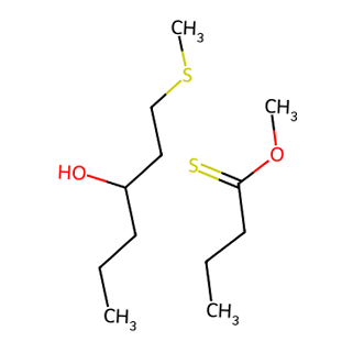 CCCC(=S)OC.CCCC(O)CCSC